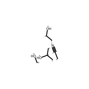 CC#N.CC(C)O.CCO.CO